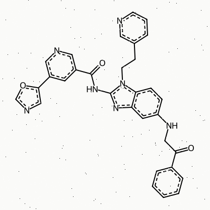 O=C(CNc1ccc2c(c1)nc(NC(=O)c1cncc(-c3cnco3)c1)n2CCc1cccnc1)c1ccccc1